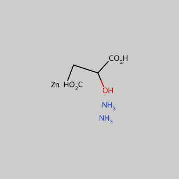 N.N.O=C(O)CC(O)C(=O)O.[Zn]